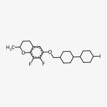 CC1CCc2cc(OCC3CCC(C4CCC(I)CC4)CC3)c(F)c(F)c2O1